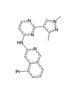 Cc1nn(C)cc1-c1nccc(Nc2cc3c(C(C)C)cccc3cn2)n1